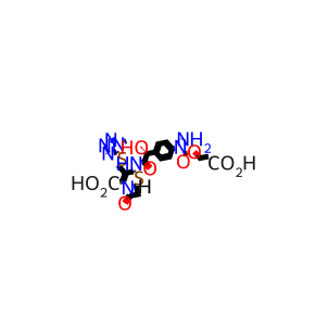 Cn1nnnc1SCC1=C(C(=O)O)N2C(=O)C[C@@H]2SC1NC(=O)[C@H](O)c1ccc(N(N)C(=O)OCCC(=O)O)cc1